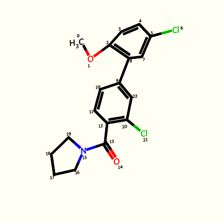 COc1ccc(Cl)cc1-c1ccc(C(=O)N2CCCC2)c(Cl)c1